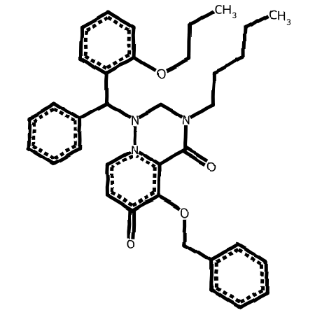 CCCCCN1CN(C(c2ccccc2)c2ccccc2OCCC)n2ccc(=O)c(OCc3ccccc3)c2C1=O